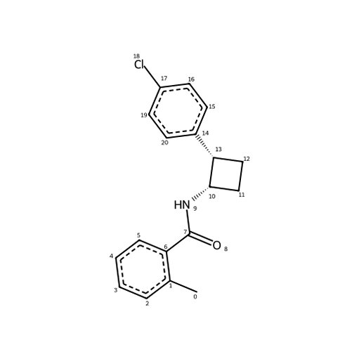 Cc1ccccc1C(=O)N[C@H]1CC[C@H]1c1ccc(Cl)cc1